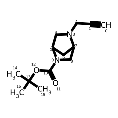 C#CCN1CC2CC1CN2C(=O)OC(C)(C)C